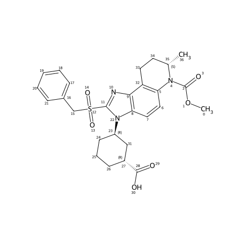 COC(=O)N1c2ccc3c(nc(S(=O)(=O)Cc4ccccc4)n3[C@@H]3CCC[C@@H](C(=O)O)C3)c2CC[C@@H]1C